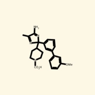 COc1cccc(-c2cccc(C3(C4CCN(C(=O)O)CC4)N=C(C)C(N)=N3)c2)c1